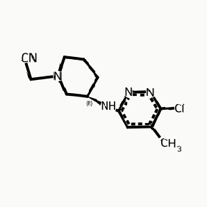 Cc1cc(N[C@@H]2CCCN(CC#N)C2)nnc1Cl